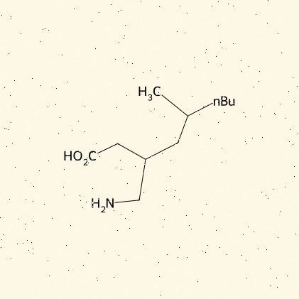 CCCCC(C)CC(CN)CC(=O)O